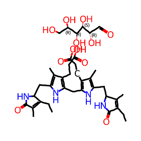 CCC1=C(C)C(Cc2[nH]c(Cc3[nH]c(CC4NC(=O)C(C)=C4CC)c(C)c3CCC(=O)O)c(CCC(=O)O)c2C)NC1=O.O=C[C@H](O)[C@@H](O)[C@H](O)[C@H](O)CO